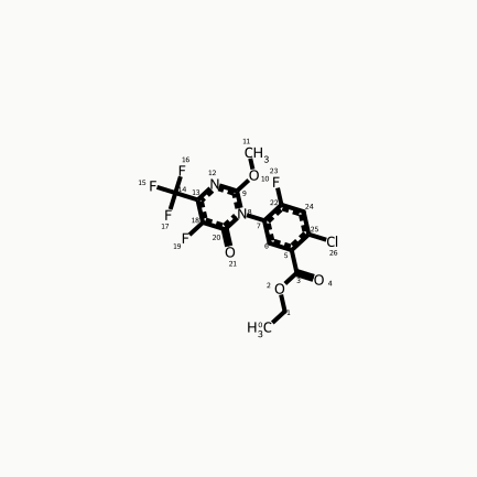 CCOC(=O)c1cc(-n2c(OC)nc(C(F)(F)F)c(F)c2=O)c(F)cc1Cl